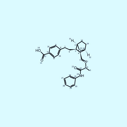 CN(N=C[C@H]1[C@@H](CCc2ccc(C(=O)O)cc2)[C@H]2CC[C@@H]1O2)C(=O)Nc1ccccc1